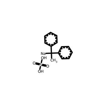 C[C]([Na])(c1ccccc1)c1ccccc1.O=S(=O)(O)O